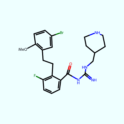 COc1ccc(Br)cc1CCc1c(F)cccc1C(=O)NC(=N)NCC1CCNCC1